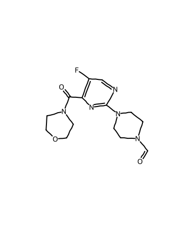 O=CN1CCN(c2ncc(F)c(C(=O)N3CCOCC3)n2)CC1